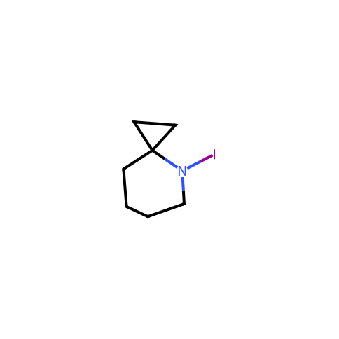 IN1CCCCC12CC2